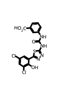 O=C(Nc1cccc(C(=O)O)c1)Nc1nnc(-c2cc(Cl)cc(Cl)c2O)s1